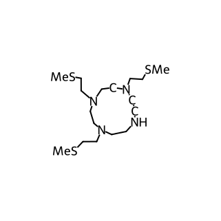 CSCCN1CCNCCN(CCSC)CCN(CCSC)CC1